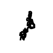 Cc1ccc2c(N3CCN(CCc4cccc5c4OCc4c(C(=O)N6CCOCC6)ncn4-5)[C@H](C)C3)cccc2n1